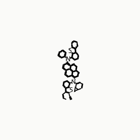 C#Cc1sc2c(N(C3=CC=CC4CC34)c3ccc4ccc5c(N(c6ccccc6)c6cccc7c6sc6ccccc67)ccc6ccc3c4c65)cccc2c1/C=C\C